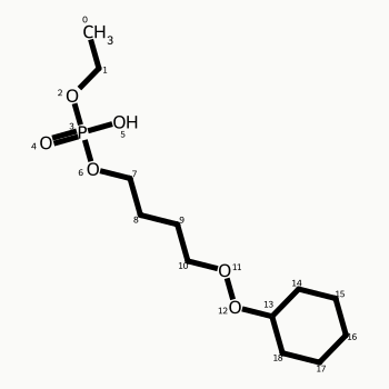 CCOP(=O)(O)OCCCCOOC1CCCCC1